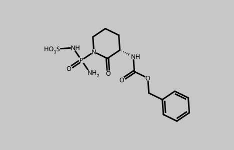 NP(=O)(NS(=O)(=O)O)N1CCC[C@H](NC(=O)OCc2ccccc2)C1=O